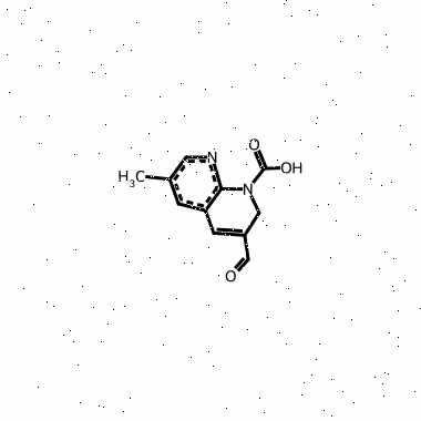 Cc1cnc2c(c1)C=C(C=O)CN2C(=O)O